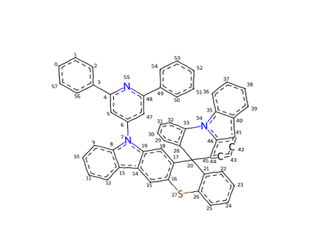 c1ccc(-c2cc(-n3c4ccccc4c4cc5c(cc43)C3(c4ccccc4S5)c4ccccc4-n4c5ccccc5c5cccc3c54)cc(-c3ccccc3)n2)cc1